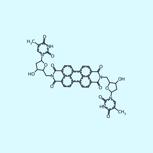 Cc1cn(C2CC(O)C(CN3C(=O)c4ccc5c6ccc7c8c(ccc(c9ccc(c4c59)C3=O)c86)C(=O)N(CC3OC(n4cc(C)c(=O)[nH]c4=O)CC3O)C7=O)O2)c(=O)[nH]c1=O